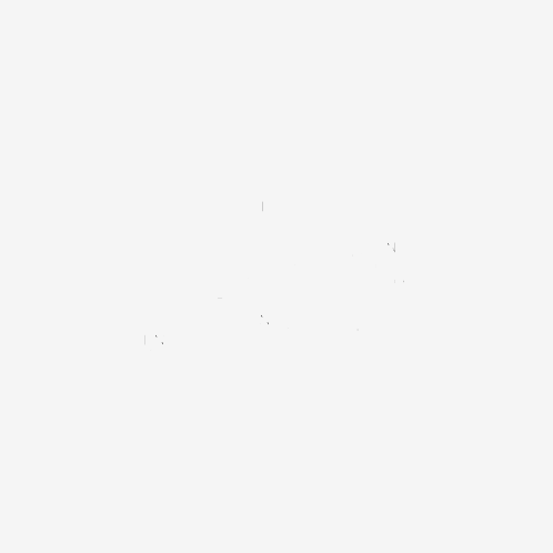 Cc1c(-c2cccc(S(=O)(=O)N(C)C)c2)c2cc(C(F)F)ccc2n1CC(F)=CCN